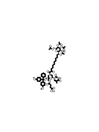 COc1ccc(C(OC[C@]2(COC(=O)CCC(=O)O)CN(C(=O)C(=O)CCCCCCCCCC[C@H]3O[C@H](COC(C)=O)[C@H](OC(C)=O)[C@H](OC(C)=O)[C@@H]3NC(C)=O)C[C@H](n3cc(C)c(=O)[nH]c3=O)O2)(c2ccccc2)c2ccc(OC)cc2)cc1